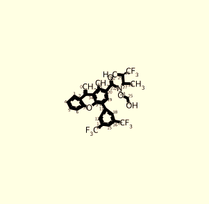 C=C1c2ccccc2Oc2c(-c3cc(C(F)(F)F)cc(C(F)(F)F)c3)cc(C(=O)N(OCO)C(C)[C@@H](C)C(F)(F)F)c(C)c21